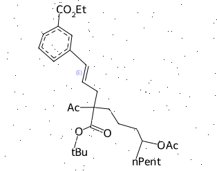 CCCCCC(CCCC(C/C=C/c1cccc(C(=O)OCC)c1)(C(C)=O)C(=O)OC(C)(C)C)OC(C)=O